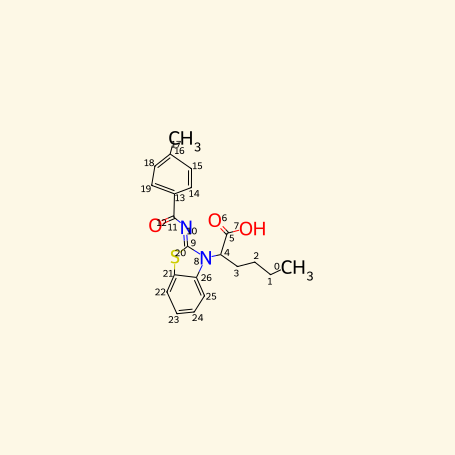 CCCCC(C(=O)O)n1/c(=N/C(=O)c2ccc(C)cc2)sc2ccccc21